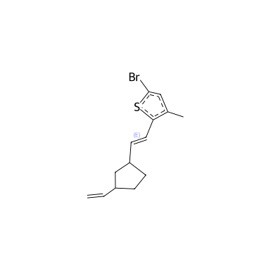 C=CC1CCC(/C=C/c2sc(Br)cc2C)C1